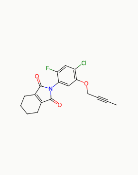 CC#CCOc1cc(N2C(=O)C3=C(CCCC3)C2=O)c(F)cc1Cl